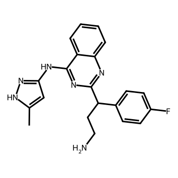 Cc1cc(Nc2nc(C(CCN)c3ccc(F)cc3)nc3ccccc23)n[nH]1